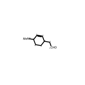 CNC1C=CC(CC=O)CC1